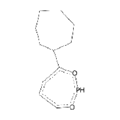 c1co[pH]oc(C2CCCCCC2)c1